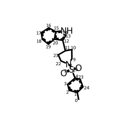 Cc1ccc(S(=O)(=O)N2CCC(c3c[nH]c4ccccc34)CC2)cc1